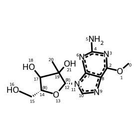 COc1nc(N)nc2c1ncn2[C@@H]1O[C@H](CO)C(O)C1(C)O